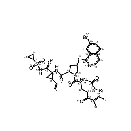 C=CC1CC1(NC(=O)C1CC(Oc2nccc3ccc(Br)cc23)CN1C(=O)C(CCC(=O)C(C)=CC)NC(=O)OC(C)(C)C)C(=O)NS(=O)(=O)C1CC1